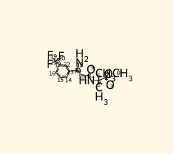 COC(=O)C(C)(C)NC(=O)C[C@H](N)c1cccc(C(F)(F)F)c1